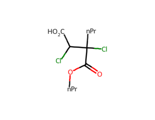 CCCOC(=O)C(Cl)(CCC)C(Cl)C(=O)O